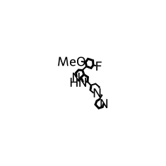 COc1ccc(F)cc1-c1ccnc2[nH]c(C3=CCN(Cc4ccccn4)CC3)cc12